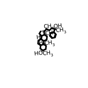 C[C@H](CCC(C)(O)c1ccccc1)[C@H]1CC[C@H]2[C@@H]3CC=C4C[C@@](C)(O)CC[C@]4(C)C3CC[C@]12C